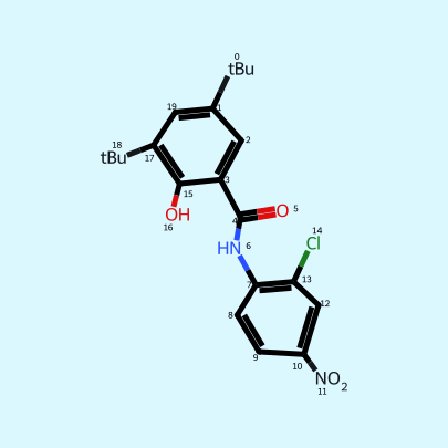 CC(C)(C)c1cc(C(=O)Nc2ccc([N+](=O)[O-])cc2Cl)c(O)c(C(C)(C)C)c1